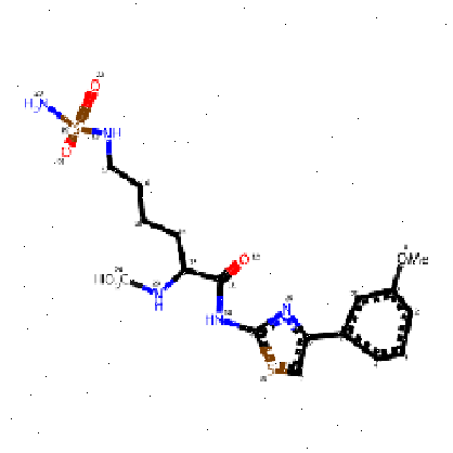 COc1cccc(-c2csc(NC(=O)C(CCCCNS(N)(=O)=O)NC(=O)O)n2)c1